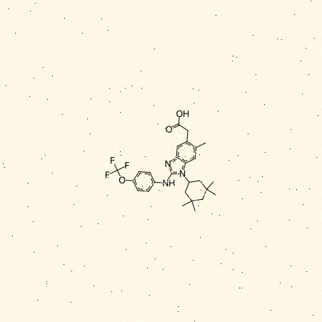 Cc1cc2c(cc1CC(=O)O)nc(Nc1ccc(OC(F)(F)F)cc1)n2C1CC(C)(C)CC(C)(C)C1